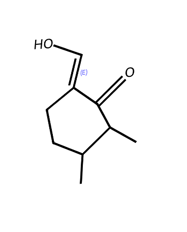 CC1CC/C(=C\O)C(=O)C1C